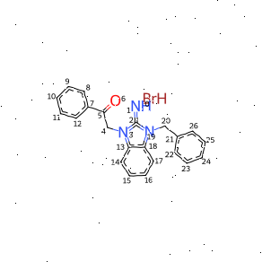 Br.N=c1n(CC(=O)c2ccccc2)c2ccccc2n1Cc1ccccc1